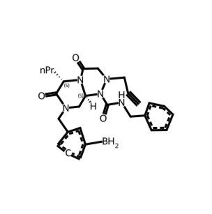 Bc1cccc(CN2C[C@H]3N(C(=O)CN(CC#C)N3C(=O)NCc3ccccc3)[C@@H](CCC)C2=O)c1